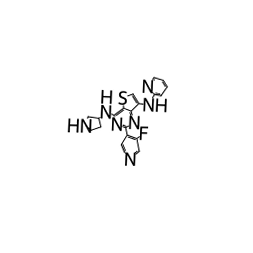 Fc1cnccc1-c1nc(N[C@@H]2CCNC2)c2scc(Nc3ccccn3)c2n1